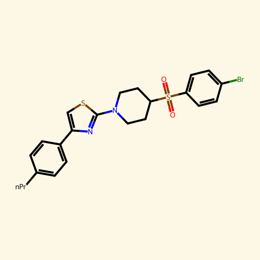 CCCc1ccc(-c2csc(N3CCC(S(=O)(=O)c4ccc(Br)cc4)CC3)n2)cc1